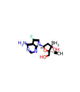 B[C@@]1(O)C[C@H](n2cc(F)c3c(N)ncnc32)O[C@]1(C#C)CO